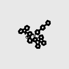 CC1(c2ccc(N(c3ccc(-c4ccc(-c5ccccc5)cc4)cc3)c3ccc4c(c3)C(c3ccccc3)(c3ccccc3)c3ccccc3-4)c3c2oc2ccccc23)c2ccccc2-c2ccccc21